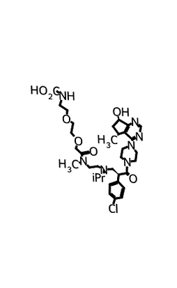 CC(C)N(CCN(C)C(=O)COCCOCCNC(=O)O)C[C@@H](C(=O)N1CCN(c2ncnc3c2[C@H](C)C[C@H]3O)CC1)c1ccc(Cl)cc1